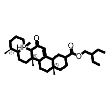 CCC(CC)COC(=O)C1CC[C@]2(C)CCC3C(=CC(=O)C4[C@@]3(C)CCC3[C@@H](C)CCC[PH]34C)C2C1